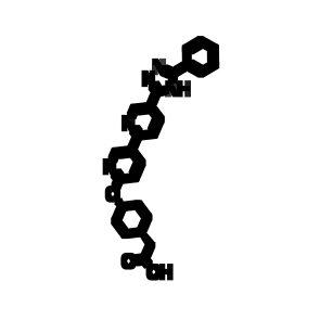 O=C(O)C[C@H]1CC[C@@H](Oc2ccc(-c3ccc(-c4nnc(-c5ccccc5)[nH]4)cn3)cn2)CC1